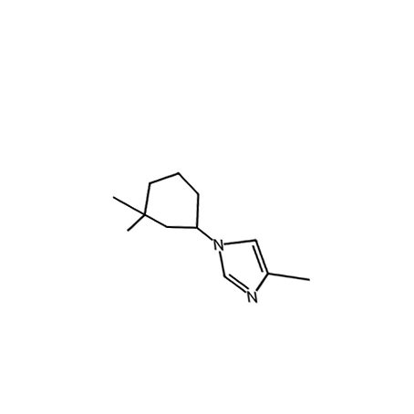 Cc1cn(C2CCCC(C)(C)C2)cn1